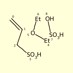 C=CCS(=O)(=O)O.CCOCC.O=S(=O)(O)O